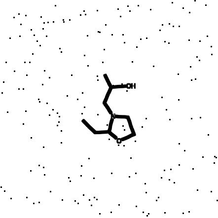 CCC1OCCN1CC(C)O